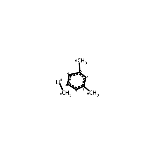 Cc1c[c]cc(C)c1.[Li][CH3]